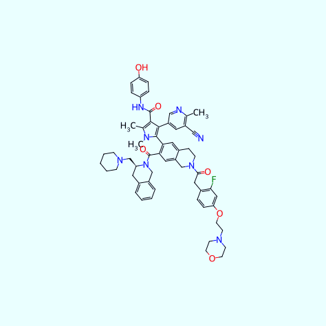 Cc1ncc(-c2c(C(=O)Nc3ccc(O)cc3)c(C)n(C)c2-c2cc3c(cc2C(=O)N2Cc4ccccc4C[C@H]2CN2CCCCC2)CN(C(=O)Cc2ccc(OCCN4CCOCC4)cc2F)CC3)cc1C#N